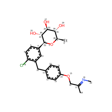 CC[C@H]1O[C@@H](c2ccc(Cl)c(Cc3ccc(OCC(C)=NC)cc3)c2)[C@H](O)[C@@H](O)[C@@H]1O